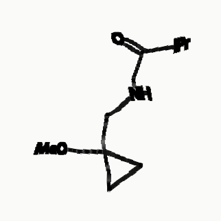 COC1(CNC(=O)C(C)C)CC1